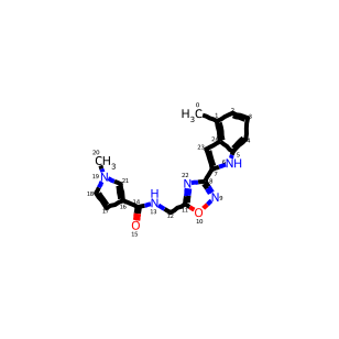 Cc1cccc2[nH]c(-c3noc(CNC(=O)c4ccn(C)c4)n3)cc12